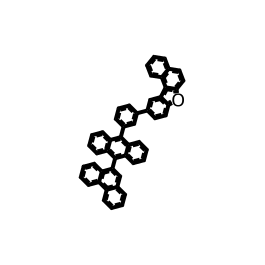 c1cc(-c2ccc3oc4ccc5ccccc5c4c3c2)cc(-c2c3ccccc3c(-c3cc4ccccc4c4ccccc34)c3ccccc23)c1